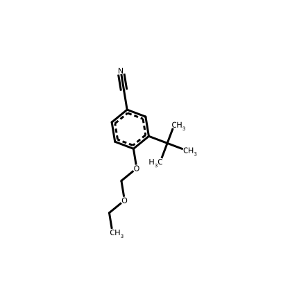 CCOCOc1ccc(C#N)cc1C(C)(C)C